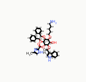 Cc1c[nH]c(C(=O)OC2C(OC(C)c3c[nH]c4ccccc34)C(O)C(OCCCCCN)C(OCc3ccccc3)C2OCc2ccccc2)n1